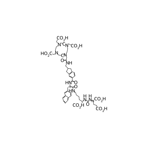 O=C(O)CC[C@H](NC(=O)NC(CCCCNC(=O)[C@H](Cc1ccc2ccccc2c1)NC(=O)c1ccc2c(c1)CC(CNC(=O)CN1CCN(CC(=O)O)CCN(CC(=O)O)CCN(CC(=O)O)CC1)C2)C(=O)O)C(=O)O